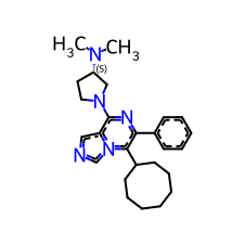 CN(C)[C@H]1CCN(c2nc(-c3ccccc3)c(C3CCCCCCC3)n3cncc23)C1